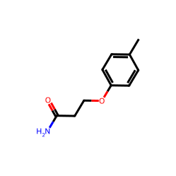 Cc1ccc(OCCC(N)=O)cc1